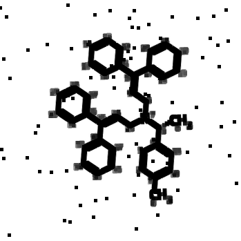 Cc1ccc([C@@H](C)N(CC=C(c2ccccc2)c2ccccc2)CC=C(c2ccccc2)c2ccccc2)cc1